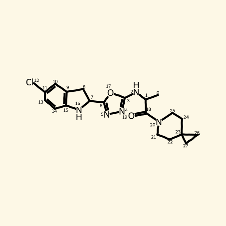 CC(Nc1nnc(C2Cc3cc(Cl)ccc3N2)o1)C(=O)N1CCC2(CC1)CC2